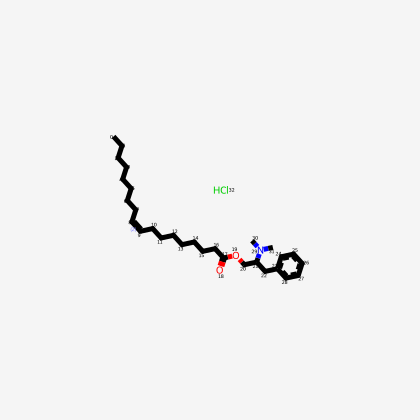 CCCCCCCC/C=C\CCCCCCCC(=O)OCC(Cc1ccccc1)N(C)C.Cl